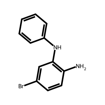 Nc1ccc(Br)cc1Nc1ccccc1